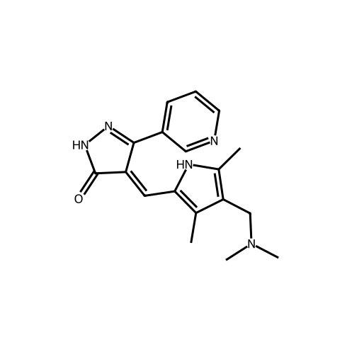 Cc1[nH]c(/C=C2/C(=O)NN=C2c2cccnc2)c(C)c1CN(C)C